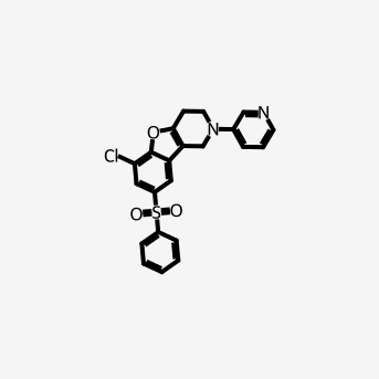 O=S(=O)(c1ccccc1)c1cc(Cl)c2oc3c(c2c1)CN(c1cccnc1)CC3